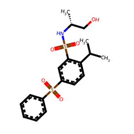 CC(C)c1ccc(S(=O)(=O)c2ccccc2)cc1S(=O)(=O)N[C@H](C)CO